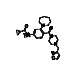 O=C(Nc1ccc(C(=O)N2CCN(Cc3ccon3)CC2)c(N2CCCCCC2)c1)C1CC1